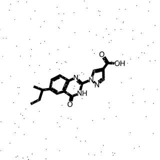 CCC(C)c1ccc2nc(-n3cc(C(=O)O)cn3)[nH]c(=O)c2c1